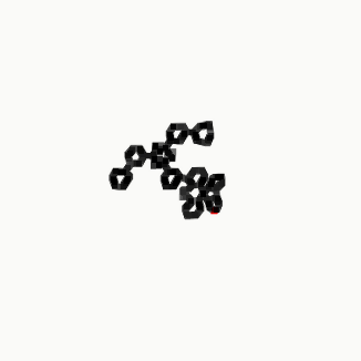 c1ccc(-c2cccc(-c3nc(-c4cccc(-c5ccccc5)c4)nc(-c4cccc(-c5cccc6c5Sc5ccccc5C65c6ccccc6-c6ccccc65)c4)n3)c2)cc1